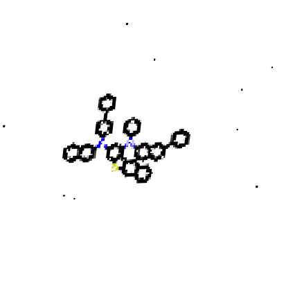 c1ccc(-c2ccc(N(c3ccc4ccccc4c3)c3cc(N(c4ccccc4)c4ccc5ccc(-c6ccccc6)cc5c4)c4c(c3)sc3cc5ccccc5cc34)cc2)cc1